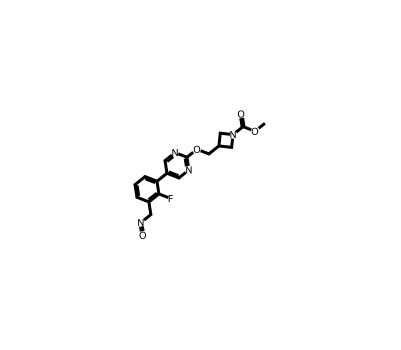 COC(=O)N1CC(COc2ncc(-c3cccc(CN=O)c3F)cn2)C1